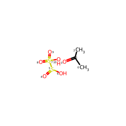 CC(C)=O.O=S(O)S(=O)(=O)O